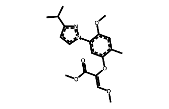 CO/C=C(\Oc1cc(-n2ccc(C(C)C)n2)c(OC)cc1C)C(=O)OC